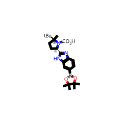 CC1(C)OB(c2ccc3nc([C@@H]4CC[C@@](C)(C(C)(C)C)N4C(=O)O)[nH]c3c2)OC1(C)C